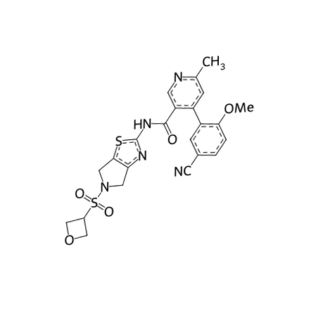 COc1ccc(C#N)cc1-c1cc(C)ncc1C(=O)Nc1nc2c(s1)CN(S(=O)(=O)C1COC1)C2